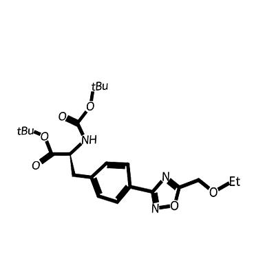 CCOCc1nc(-c2ccc(C[C@H](NC(=O)OC(C)(C)C)C(=O)OC(C)(C)C)cc2)no1